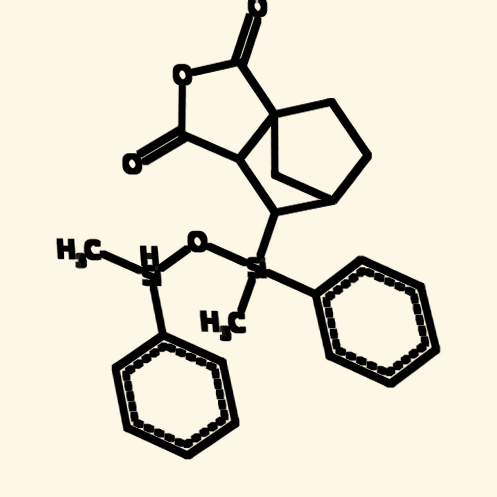 C[SiH](O[Si](C)(c1ccccc1)C1C2CCC3(C2)C(=O)OC(=O)C13)c1ccccc1